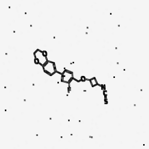 Fc1cc(-c2ccc3c(c2)OCCO3)ccc1COC1CC(N=C=S)C1